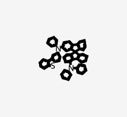 c1ccc(N(c2ccc3c(c2)C2(c4ccccc4-3)c3ccccc3-c3c(N(c4ccccc4)c4ccccc4)cccc32)c2ccc3sc4ccccc4c3c2)cc1